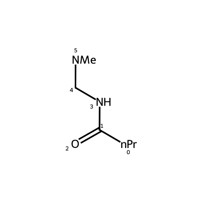 CCCC(=O)NCNC